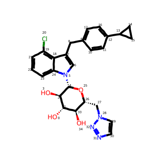 O[C@@H]1[C@@H](O)[C@H](n2cc(Cc3ccc(C4CC4)cc3)c3c(Cl)cccc32)O[C@H](Cn2ccnn2)[C@H]1O